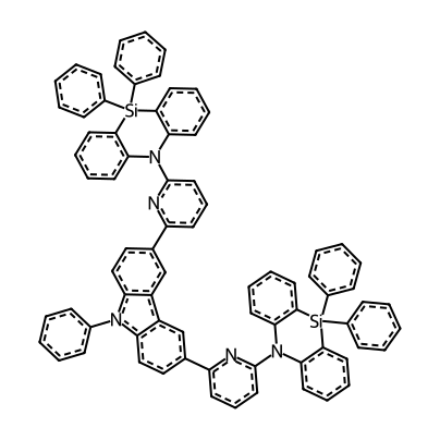 c1ccc(-n2c3ccc(-c4cccc(N5c6ccccc6[Si](c6ccccc6)(c6ccccc6)c6ccccc65)n4)cc3c3cc(-c4cccc(N5c6ccccc6[Si](c6ccccc6)(c6ccccc6)c6ccccc65)n4)ccc32)cc1